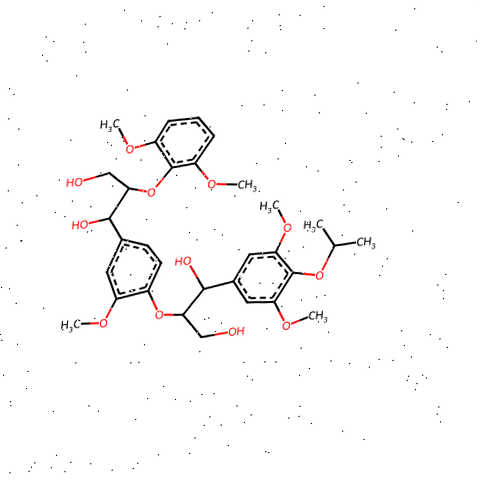 COc1cc(C(O)C(CO)Oc2c(OC)cccc2OC)ccc1OC(CO)C(O)c1cc(OC)c(OC(C)C)c(OC)c1